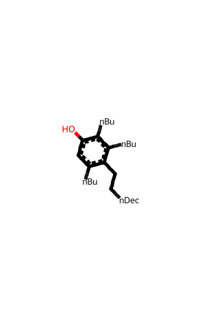 CCCCCCCCCCCCc1c(CCCC)cc(O)c(CCCC)c1CCCC